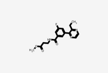 CCc1nccnc1-c1cc(F)cc(C(=O)NCCC(=O)OC)c1